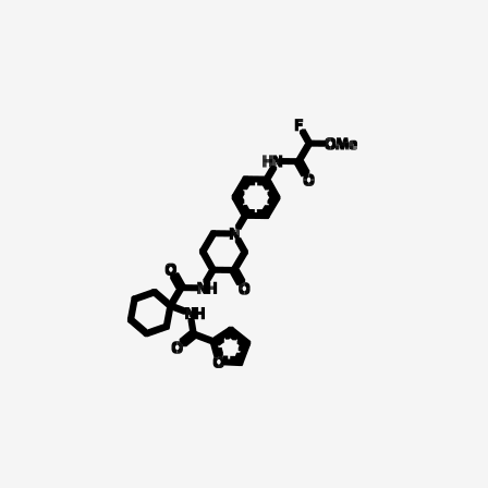 COC(F)C(=O)Nc1ccc(N2CCC(NC(=O)C3(NC(=O)c4ccco4)CCCCC3)C(=O)C2)cc1